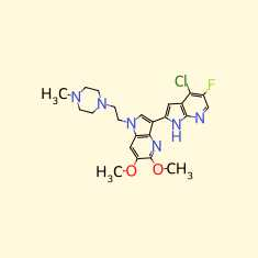 COc1cc2c(nc1OC)c(-c1cc3c(Cl)c(F)cnc3[nH]1)cn2CCN1CCN(C)CC1